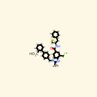 CCCc1nc2c(CF)cc(C(=O)N[C@@H](CS)Cc3ccccc3)cc2n1Cc1ccc(-c2ccccc2C(=O)O)cc1